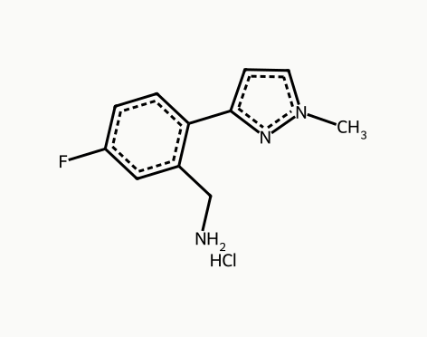 Cl.Cn1ccc(-c2ccc(F)cc2CN)n1